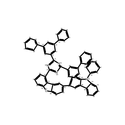 c1ccc(-c2cccc(-c3nc(-c4cc(-c5ccccc5)cc(-c5ccccc5)c4)nc(-c4cccc5oc6ccc(-c7ccc8c(c7)c7ccccc7n8-c7ccccc7)cc6c45)n3)c2)cc1